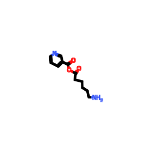 NCCCCCC(=O)OC(=O)c1cccnc1